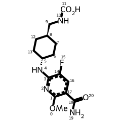 COc1nc(N[C@H]2CC[C@H](CNC(=O)O)CC2)c(F)cc1C(N)=O